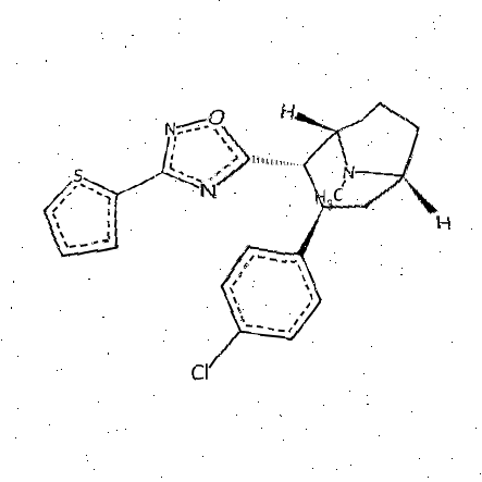 CN1[C@@H]2CC[C@H]1[C@@H](c1nc(-c3cccs3)no1)[C@H](c1ccc(Cl)cc1)C2